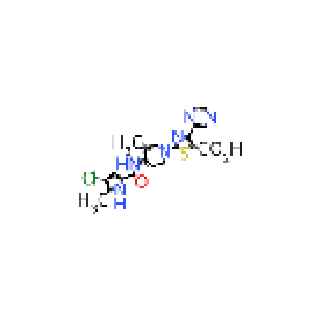 Cc1[nH]c(C(=O)N[C@@H]2CCN(c3nc(-c4cnccn4)c(C(=O)O)s3)C[C@@H]2C)cc1Cl